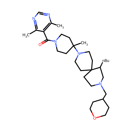 CCCCC1CN(CC2CCOCC2)CCC12CCN(C1(C)CCN(C(=O)c3c(C)ncnc3C)CC1)CC2